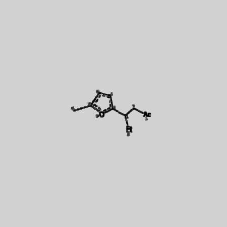 CCC(CC(C)=O)c1ccc(C)o1